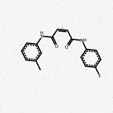 Cc1cccc(NC(=O)/C=C\C(=O)Nc2ccc(F)cc2)c1